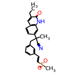 CCc1cc2ccc(C(C)(C#N)Cc3cccc(/C=C/S(C)(=O)=O)c3)cc2[nH]c1=O